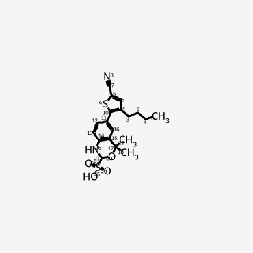 CCCCc1cc(C#N)sc1-c1ccc2c(c1)C(C)(C)OC(S(=O)(=O)O)N2